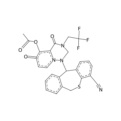 CC(=O)Oc1c2n(ccc1=O)N(C1c3ccccc3CSc3c(C#N)cccc31)CN(CC(F)(F)F)C2=O